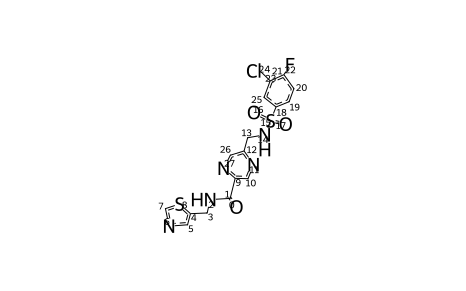 O=C(NCc1cncs1)c1cnc(CNS(=O)(=O)c2ccc(F)c(Cl)c2)cn1